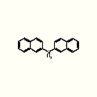 c1ccc2cc([SiH2]c3ccc4ccccc4c3)ccc2c1